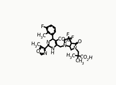 CCOC(=O)C1=C(CN2CC(F)(F)C3C(=O)N(CC(C)(C)C(=O)O)CC32)NC(c2ncoc2C)=NC1c1cccc(F)c1C